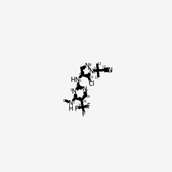 CNc1nc(Nc2cnn(C(C)(C)C#N)c2Cl)ncc1C(F)(F)F